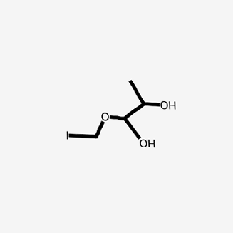 CC(O)C(O)OCI